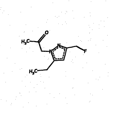 CCc1cc(CF)nn1CC(C)=O